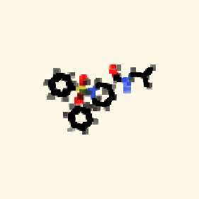 CC(C)CNC(=O)[C@@H]1CC[C@H](c2ccccc2)N(S(=O)(=O)c2ccccc2)C1